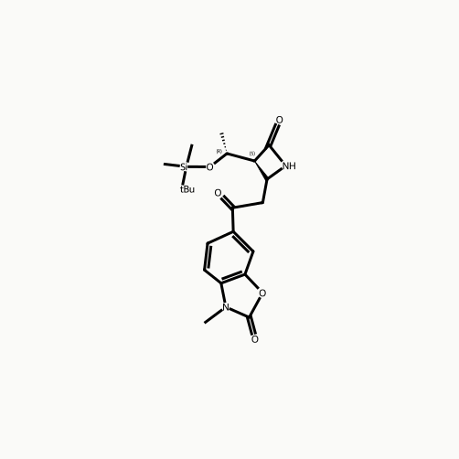 C[C@@H](O[Si](C)(C)C(C)(C)C)[C@H]1C(=O)NC1CC(=O)c1ccc2c(c1)oc(=O)n2C